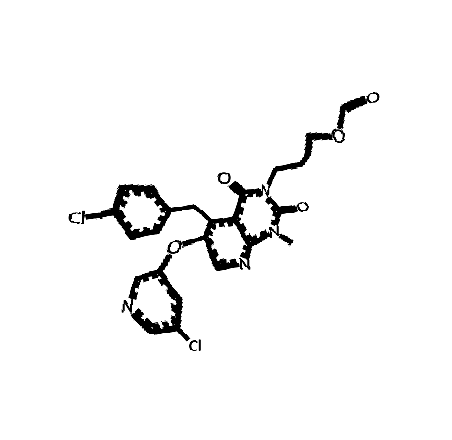 Cn1c(=O)n(CCCOC=O)c(=O)c2c(Cc3ccc(Cl)cc3)c(Oc3cncc(Cl)c3)cnc21